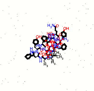 CC[C@H](C)[C@H](NC(=O)[C@H](Cc1c[nH]c2ccccc12)NC(=O)[C@H](Cc1ccccc1)NC(=O)[C@H](Cc1ccc(O)cc1)NC(=O)[C@@H](N)CCC(N)=O)C(=O)N[C@@H](C)C(=O)N[C@@H](Cc1c[nH]c2ccccc12)C(=O)N[C@@H](Cc1ccc(O)cc1)C(=O)N[C@@H](CCCCN)C(=O)N[C@@H](CC(C)C)C(=O)N[C@@H](C)C(=O)N[C@@H](CC(N)=O)C(=O)N[C@@H](CO)C(=O)O